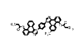 C=CC(=O)Oc1cccc2c3ncn(-c4ccc(-n5cnc6c7cccc(OC(=O)C=C)c7c7ccc(C)cc7c65)cc4)c3c3ccccc3c12